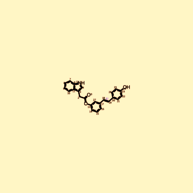 O=C(Cc1c[nH]c2ccccc12)Oc1c[c]cc(/C=C/c2ccc(O)cc2)c1